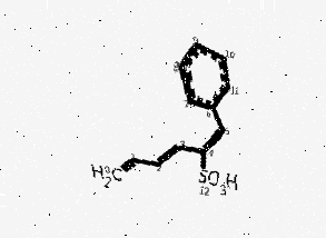 C=CC=CC(=Cc1ccccc1)S(=O)(=O)O